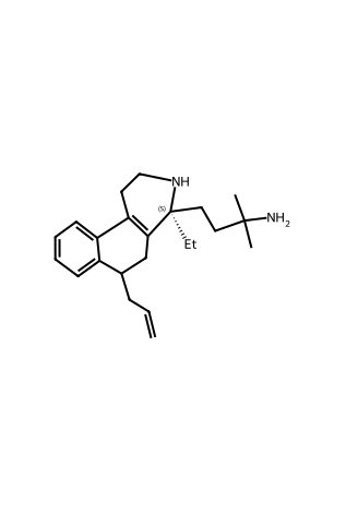 C=CCC1CC2=C(CCN[C@@]2(CC)CCC(C)(C)N)c2ccccc21